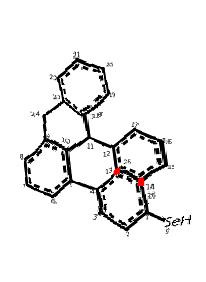 [SeH]c1ccc(-c2cccc3c2C(c2ccccc2)c2ccccc2C3)cc1